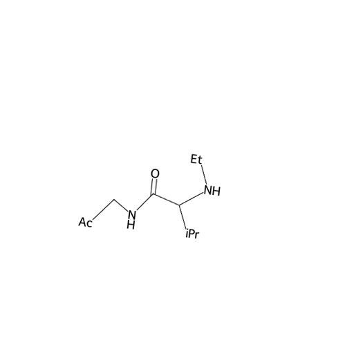 CCNC(C(=O)NCC(C)=O)C(C)C